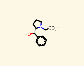 O=C(O)CN1CCC[C@H]1C(O)c1ccccc1